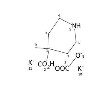 CC1(C(=O)O)CCNCC1.O=C([O-])[O-].[K+].[K+]